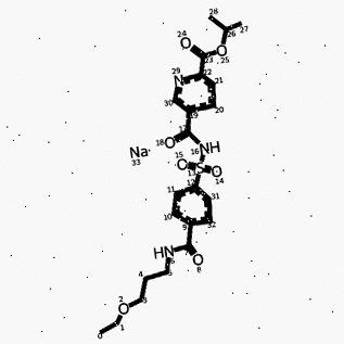 CCOCCCNC(=O)c1ccc(S(=O)(=O)NC(=O)c2ccc(C(=O)OC(C)C)nc2)cc1.[Na]